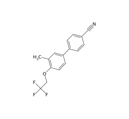 Cc1cc(-c2ccc(C#N)cc2)ccc1OCC(F)(F)F